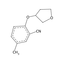 Cc1ccc(OC2CCOC2)c(C#N)c1